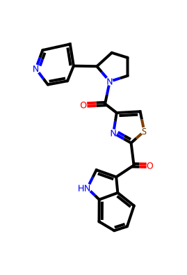 O=C(c1nc(C(=O)N2CCCC2c2ccncc2)cs1)c1c[nH]c2ccccc12